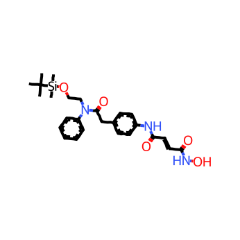 CC(C)(C)[Si](C)(C)OCCN(C(=O)Cc1ccc(NC(=O)/C=C/C(=O)NO)cc1)c1ccccc1